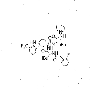 CCC(C)[C@H](NC(=O)Cc1ccccc1F)C(=O)N[C@]1(C(=O)NC(C(=O)NN2CCCCC2)[C@@H](C)CC)CCc2[nH]c3c(C(F)(F)F)cccc3c2C1